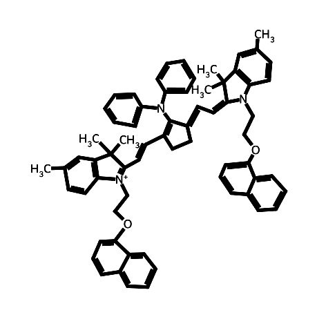 Cc1ccc2c(c1)C(C)(C)C(/C=C/C1=C(N(c3ccccc3)c3ccccc3)C(=C/C=C3/N(CCOc4cccc5ccccc45)c4ccc(C)cc4C3(C)C)/CC1)=[N+]2CCOc1cccc2ccccc12